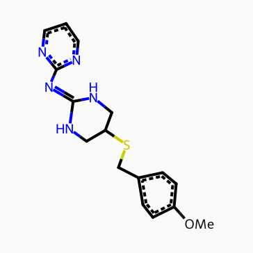 COc1ccc(CSC2CNC(=Nc3ncccn3)NC2)cc1